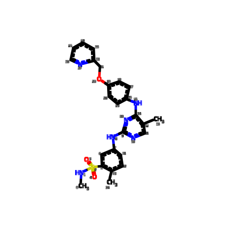 CNS(=O)(=O)c1cc(Nc2ncc(C)c(Nc3ccc(OCc4ccccn4)cc3)n2)ccc1C